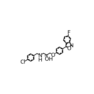 O[C@H](CNCc1ccc(Cl)cc1)COc1ccc(-c2onc3cc(F)ccc23)cc1